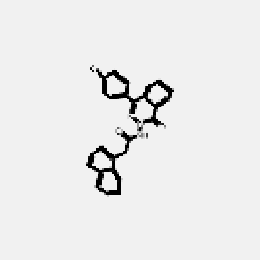 O=C(Cc1cccc2ccccc12)Nn1nc(-c2ccc(Cl)cc2)c2ccccc2c1=O